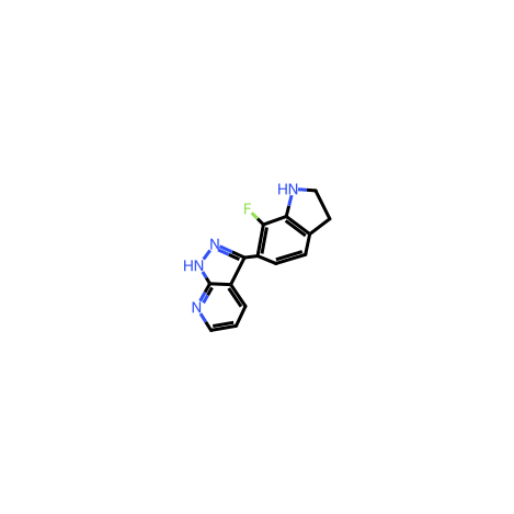 Fc1c(-c2n[nH]c3ncccc23)ccc2c1NCC2